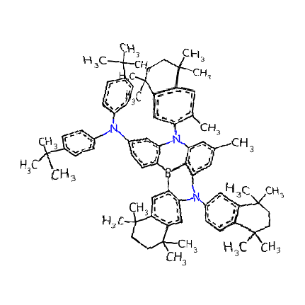 Cc1cc2c3c(c1)N(c1cc4c(cc1C)C(C)(C)CCC4(C)C)c1cc(N(c4ccc(C(C)(C)C)cc4)c4ccc(C(C)(C)C)cc4)ccc1B3c1cc3c(cc1N2c1ccc2c(c1)C(C)(C)CCC2(C)C)C(C)(C)CCC3(C)C